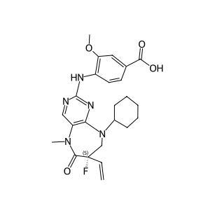 C=C[C@]1(F)CN(C2CCCCC2)c2nc(Nc3ccc(C(=O)O)cc3OC)ncc2N(C)C1=O